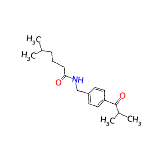 CC(C)CCCC(=O)NCc1ccc(C(=O)C(C)C)cc1